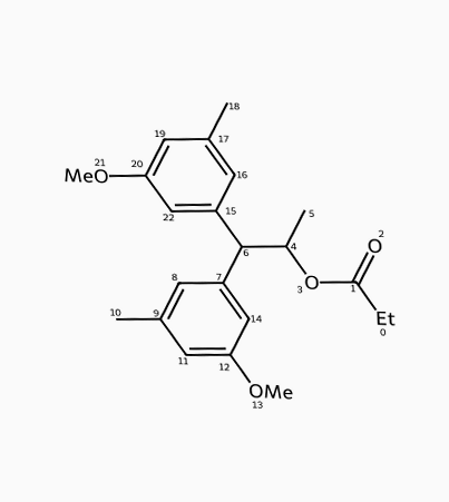 CCC(=O)OC(C)C(c1cc(C)cc(OC)c1)c1cc(C)cc(OC)c1